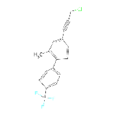 Cc1cc(C#CCCl)ccc1-c1ccc(C(F)(F)F)cc1